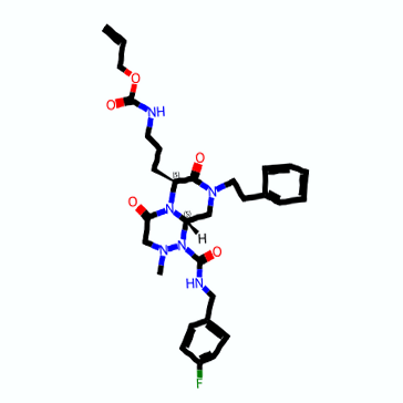 C=CCOC(=O)NCCC[C@H]1C(=O)N(CCc2ccccc2)C[C@H]2N1C(=O)CN(C)N2C(=O)NCc1ccc(F)cc1